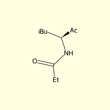 CCC(=O)N[C@H](C(C)=O)C(C)CC